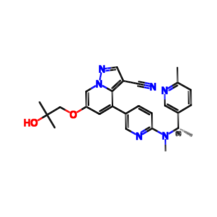 Cc1ccc([C@H](C)N(C)c2ccc(-c3cc(OCC(C)(C)O)cn4ncc(C#N)c34)cn2)cn1